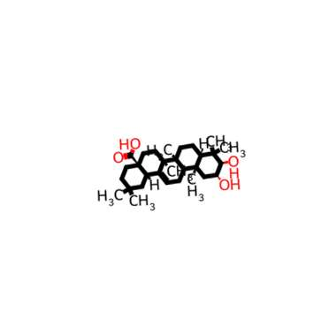 CC1(C)CC[C@]2(C(=O)O)CC[C@@]3(C)C(=CCC4[C@@]5(C)C[C@@H](O)[C@H](O)C(C)(C)[C@@H]5CC[C@]43C)[C@@H]2C1